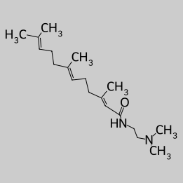 CC(C)=CCC/C(C)=C/CC/C(C)=C/C(=O)NCCN(C)C